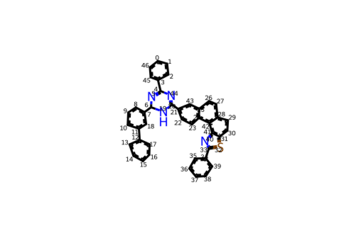 c1ccc(C2=NC(c3cccc(-c4ccccc4)c3)NC(c3ccc4c(ccc5ccc6sc(-c7ccccc7)nc6c54)c3)=N2)cc1